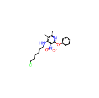 Cc1nc(Oc2ccccc2)c([N+](=O)[O-])c(NCCCCCCCl)c1C